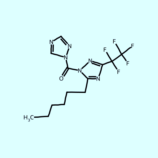 CCCCCCc1nc(C(F)(F)C(F)(F)F)nn1C(=O)n1cncn1